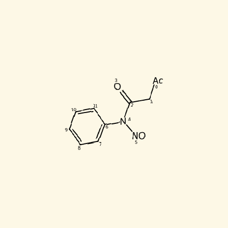 CC(=O)CC(=O)N(N=O)c1ccccc1